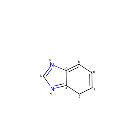 [C]1=CCC2=NC=NC2=C1